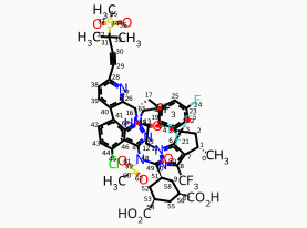 C[C@H]1CC(F)(F)c2c1c(C(F)(F)F)nn2CC(=O)N[C@@H](Cc1cc(F)cc(F)c1)c1nc(C#CC(C)(C)S(C)(=O)=O)ccc1-c1ccc(Cl)c2c(N(C(=O)[C@@H]3C[C@H](C(=O)O)C[C@H](C(=O)O)C3)S(C)(=O)=O)nn(CC(F)(F)F)c12